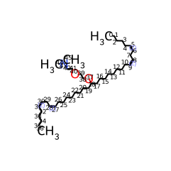 CCCCC/C=C\C/C=C\CCCCCCCCC(CCCCCCCC/C=C\C/C=C\CCCCC)OCCOCCN(C)C